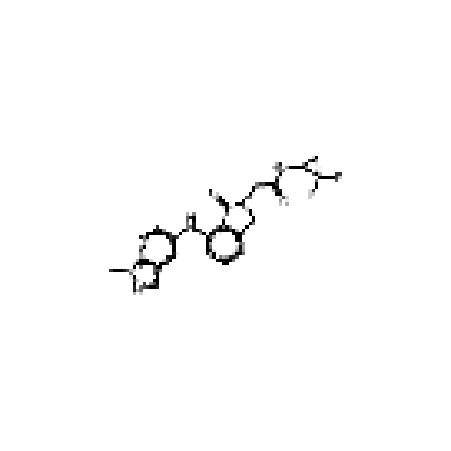 Cn1ncc2cc(Nc3cccc4c3C(=O)N(CC(=O)NC3CC3(F)F)C4)cnc21